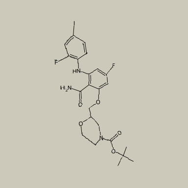 CC(C)(C)OC(=O)N1CCOC(COc2cc(F)cc(Nc3ccc(I)cc3F)c2C(N)=O)C1